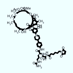 CO[C@H]1/C=C/O[C@@]2(C)Oc3c(C)c(O)c4c(=O)c(c5oc6cc(N7CCC(c8ccc(NC(=O)[C@H](CCCNC(N)=O)NC(=O)C(NC(=O)CCCCCN9C(=O)C=CC9=O)C(C)C)cc8)CC7)cc(O)c6nc-5c4c3C2=O)NC(=O)/C(C)=C\C=C\[C@H](C)C[C@@H](C)C[C@@H](C)[C@H](OC(C)=O)[C@@H]1C